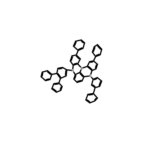 c1ccc(-c2cccc(N3c4ccc(-c5ccccc5)cc4B4c5cc(-c6ccccc6)ccc5N(c5ccc(-c6ccccc6)c(-c6ccccc6)c5)c5cccc3c54)c2)cc1